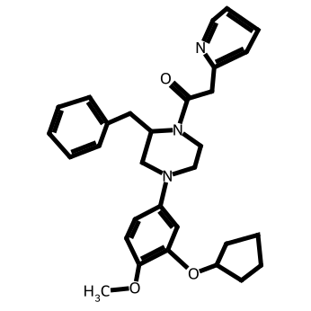 COc1ccc(N2CCN(C(=O)Cc3ccccn3)C(Cc3ccccc3)C2)cc1OC1CCCC1